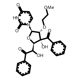 COCCO[C@H]1[C@H](n2ccc(=O)[nH]c2=O)O[C@H](C(O)C(=O)c2ccccc2)[C@]1(O)C(=O)c1ccccc1